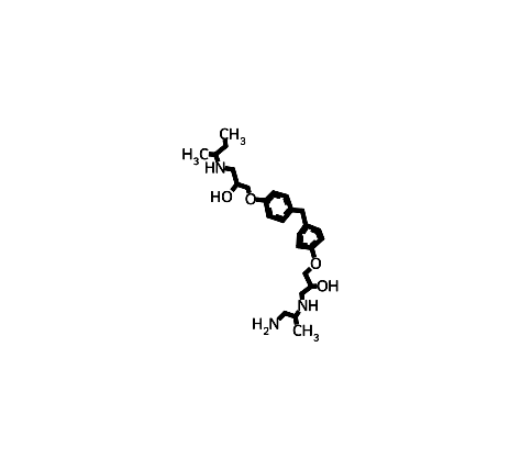 CCC(C)NCC(O)COc1ccc(Cc2ccc(OCC(O)CNC(C)CN)cc2)cc1